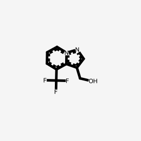 OCc1cnn2cccc(C(F)(F)F)c12